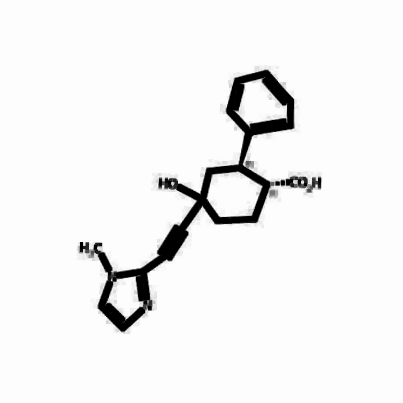 Cn1ccnc1C#CC1(O)CC[C@@H](C(=O)O)[C@H](c2ccccc2)C1